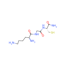 NCCCC[C@H](N)C(=O)NCC(=O)N[C@@H](CS)C(N)=O